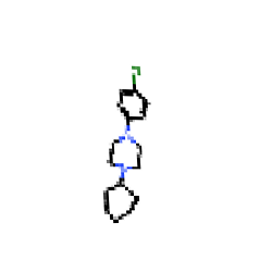 Clc1ccc(N2[CH]CN(C3CCCCC3)CC2)cc1